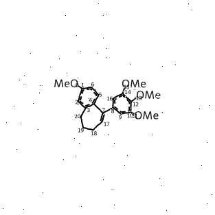 COc1[c]c2c(cc1)C(c1cc(OC)c(OC)c(OC)c1)=CCCC2